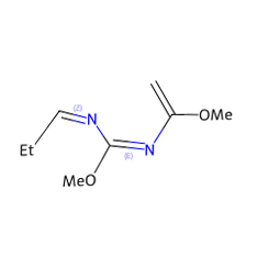 C=C(/N=C(\N=C/CC)OC)OC